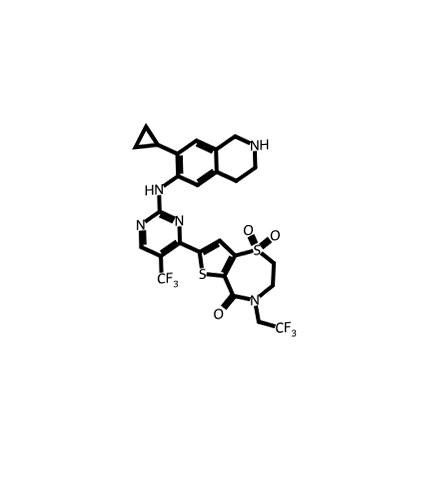 O=C1c2sc(-c3nc(Nc4cc5c(cc4C4CC4)CNCC5)ncc3C(F)(F)F)cc2S(=O)(=O)CCN1CC(F)(F)F